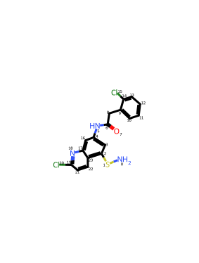 NSc1cc(NC(=O)Cc2ccccc2Cl)cc2nc(Cl)ccc12